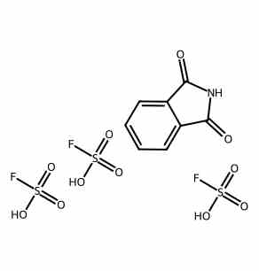 O=C1NC(=O)c2ccccc21.O=S(=O)(O)F.O=S(=O)(O)F.O=S(=O)(O)F